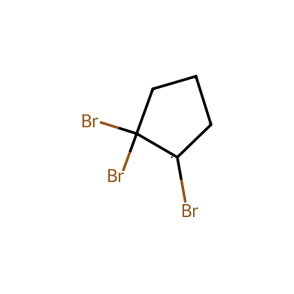 Br[C]1CCCC1(Br)Br